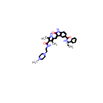 CC[C@@H](NC(=O)c1ccc2c(c1)C(=Cc1[nH]c(C)c(C(=O)NCCN3CCN(C)CC3)c1C)C(=O)N2)c1ccccc1